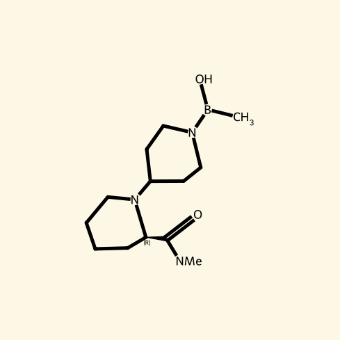 CNC(=O)[C@H]1CCCCN1C1CCN(B(C)O)CC1